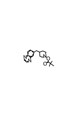 CC(C)(C)C(=O)ON1CCC(Cc2ccc3nccnc3c2)CC1